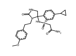 COc1ccc(CCN2C(=O)NCC2(NS(=O)(=O)CC(N)=O)c2ccc(C3CC3)cc2)cc1